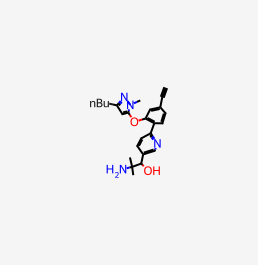 C#Cc1ccc(-c2ccc(C(O)C(C)(C)N)cn2)c(Oc2cc(CCCC)nn2C)c1